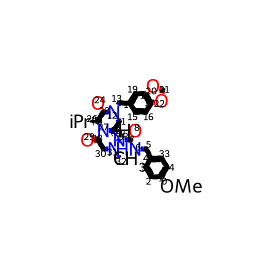 COc1ccc(CNC(=O)N2[C@H]3CN(Cc4ccc5c(c4)OCO5)C(=O)[C@H](C(C)C)N3C(=O)CN2C)cc1